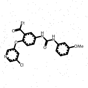 CCC(=O)c1cc(NC(=O)Nc2cccc(OC)c2)ccc1Oc1cncc(Cl)c1